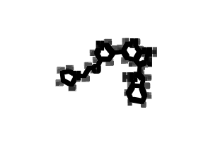 c1ccc2[nH]c(-c3n[nH]c4ncc(-c5cncc(OCCN6CCCC6)c5)cc34)cc2c1